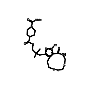 CCn1nc(CC(C)(C)COC(=O)C2CCN(C(=O)OC)CC2)c2c1C(=O)NCCCOCCC2